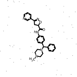 CN1CCN(C(c2ccccc2)c2ccc(NC(=O)C3CC(c4cccnc4)=NO3)cc2)CC1